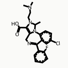 CC1N(CCN(C)C)C(C(=O)O)=C2CN=C(c3ccccc3F)c3cc(Cl)ccc3N21